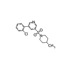 CC1CCN(S(=O)(=O)c2cncc(-c3ccccc3Cl)c2)CC1